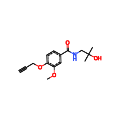 C#CCOc1ccc(C(=O)NCC(C)(C)O)cc1OC